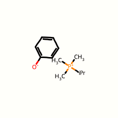 CC(C)[P+](C)(C)C.[O-]c1ccccc1